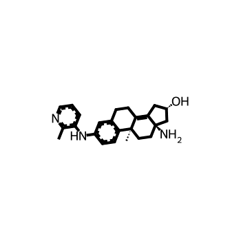 Cc1ncccc1Nc1ccc2c(c1)CCC1=C3C[C@H](O)C[C@]3(N)CC[C@]12C